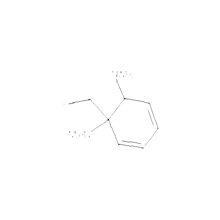 CNC1C=CC=CC1([CH2][K])NC